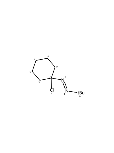 CC(C)(C)/N=N/C1(Cl)CCCCC1